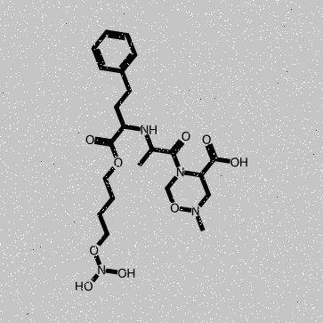 CC(NC(CCc1ccccc1)C(=O)OCCCCON(O)O)C(=O)N1CON(C)CC1C(=O)O